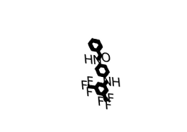 O=C(N[C@H]1CC[C@@H](Nc2cc(C(F)(F)F)cc(C(F)(F)F)c2)CC1)c1ccccc1